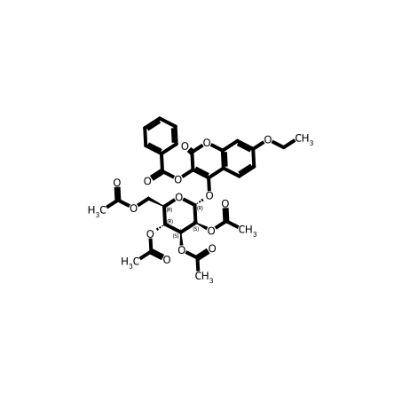 CCOc1ccc2c(O[C@H]3O[C@H](COC(C)=O)[C@@H](OC(C)=O)[C@H](OC(C)=O)[C@@H]3OC(C)=O)c(OC(=O)c3ccccc3)c(=O)oc2c1